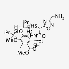 CCC(S)(NC(=O)C(S)c1nc(CN)no1)c1c(O[SiH](C)C(C)(C)C(C)C)c(O[SiH](C)C(C)(C)C(C)C)c(OC)c(C)c1C(=O)OC